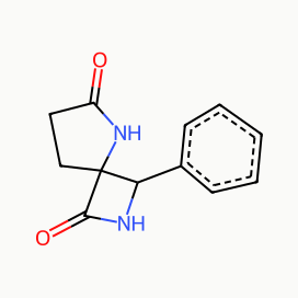 O=C1CCC2(N1)C(=O)NC2c1ccccc1